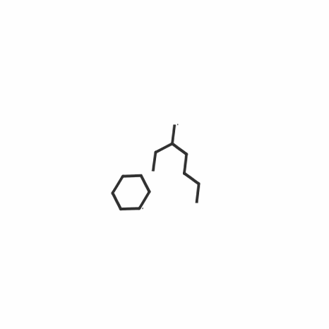 [CH2]C(CC)CCCC.[CH]1CCCCC1